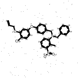 C=CCOc1cc(Oc2ccc(CN(Cc3ccccc3)c3cccc([N+](=O)[O-])c3C)cc2)ccc1Cl